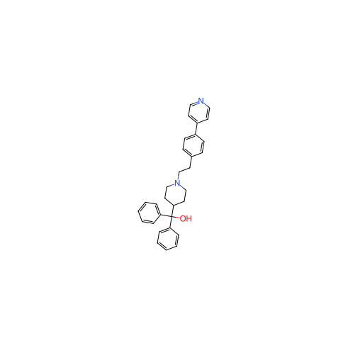 OC(c1ccccc1)(c1ccccc1)C1CCN(CCc2ccc(-c3ccncc3)cc2)CC1